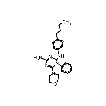 CCCCc1ccc(NC2N=C(N)N=C(N3CCOCC3)N2c2ccccc2)cc1